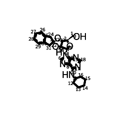 OC[C@H]1O[C@@H](n2cnc3c(NC4CCCCC4)ncnc32)[C@H]2OC3(Cc4ccccc4C3)OC12